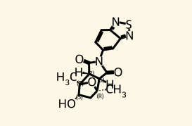 C[C@]12O[C@](C)(C[C@@H]1O)[C@H]1C(=O)N(c3ccc4nsnc4c3)C(=O)[C@H]12